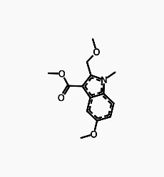 COCc1c(C(=O)OC)c2cc(OC)ccc2n1C